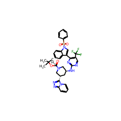 CC(C)(C)OC(=O)N1C[C@@H](Nc2ncc(C(F)(F)F)c(-c3cn(S(=O)(=O)c4ccccc4)c4ccccc34)n2)C[C@H](c2nnc3ccccn23)C1